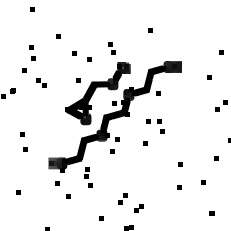 CCOCC1CO1.OCCOCCOCCO